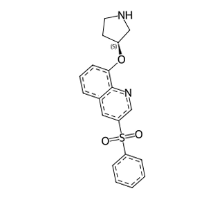 O=S(=O)(c1ccccc1)c1cnc2c(O[C@H]3CCNC3)cccc2c1